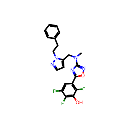 CN(Cc1ccnn1CCc1ccccc1)c1noc(-c2cc(F)c(F)c(O)c2F)n1